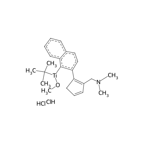 C[O][Ti]([c]1c(C2=C(CN(C)C)C=CC2)ccc2ccccc12)[C](C)(C)C.Cl.Cl